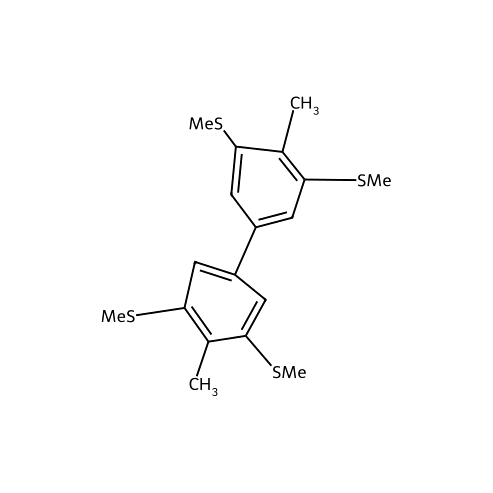 CSc1cc(-c2cc(SC)c(C)c(SC)c2)cc(SC)c1C